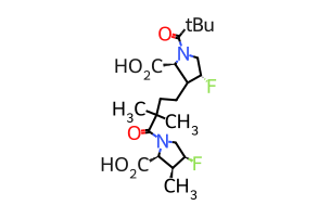 C[C@@H]1[C@H](F)CN(C(=O)C(C)(C)CCC2[C@@H](C(=O)O)N(C(=O)C(C)(C)C)C[C@@H]2F)[C@@H]1C(=O)O